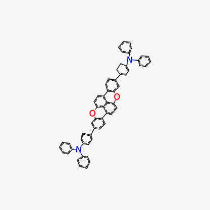 C1=C(c2ccc3c(c2)Oc2ccc4c5c(ccc-3c25)Oc2cc(-c3ccc(N(c5ccccc5)c5ccccc5)cc3)ccc2-4)CCC(N(c2ccccc2)c2ccccc2)=C1